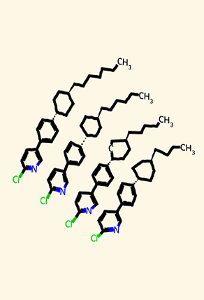 CCCCCCC[C@H]1CC[C@H](c2ccc(-c3ccc(Cl)nc3)cc2)CC1.CCCCCC[C@H]1CC[C@H](c2ccc(-c3ccc(Cl)nc3)cc2)CC1.CCCCC[C@H]1CC[C@H](c2ccc(-c3ccc(Cl)nc3)cc2)CC1.CCCC[C@H]1CC[C@H](c2ccc(-c3ccc(Cl)nc3)cc2)CC1